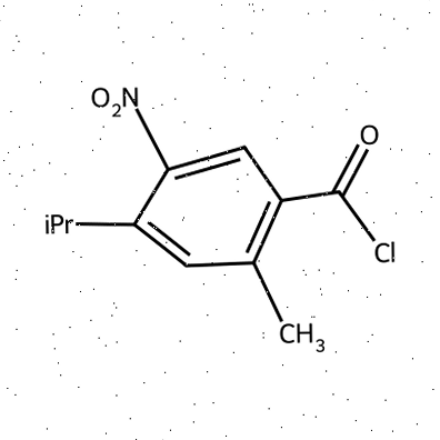 Cc1cc(C(C)C)c([N+](=O)[O-])cc1C(=O)Cl